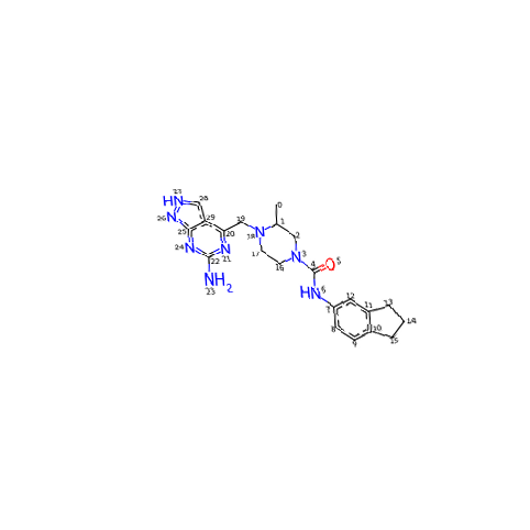 CC1CN(C(=O)Nc2ccc3c(c2)CCC3)CCN1Cc1nc(N)nc2n[nH]cc12